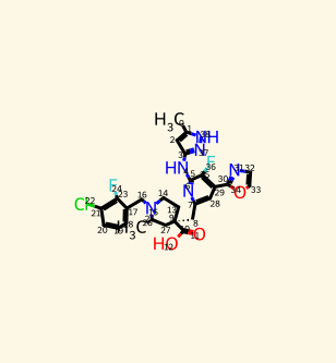 Cc1cc(Nc2nc(C[C@@]3(C(=O)O)CCN(Cc4cccc(Cl)c4F)[C@H](C)C3)cc(-c3ncco3)c2F)n[nH]1